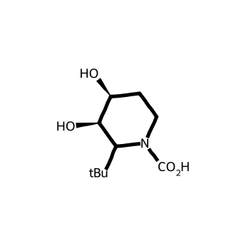 CC(C)(C)C1[C@@H](O)[C@@H](O)CCN1C(=O)O